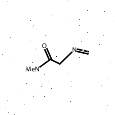 C=NCC(=O)NC